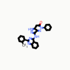 O=c1cc2[nH]nc(Nc3nc(-c4ccccc4C(F)(F)F)nc4ccccc34)c2nn1-c1ccccc1